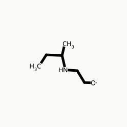 CCC(C)NCC[O]